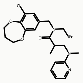 CC(C)CN(Cc1cc(Cl)c2c(c1)OCCCO2)C(=O)C(C)CN(C)c1ccccn1